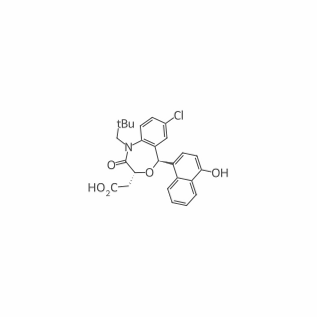 CC(C)(C)CN1C(=O)[C@@H](CC(=O)O)O[C@H](c2ccc(O)c3ccccc23)c2cc(Cl)ccc21